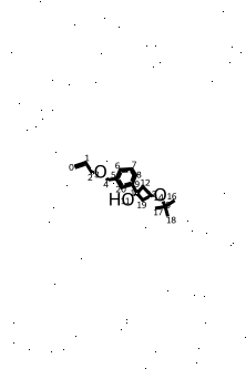 C=CCOCc1cccc([C@]2(O)C[C@H](OC(C)(C)C)C2)c1